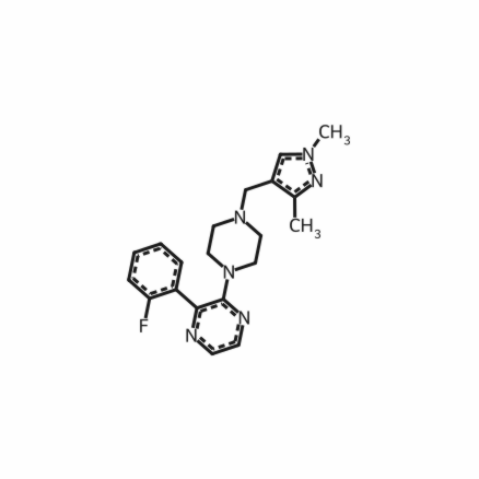 Cc1nn(C)cc1CN1CCN(c2nccnc2-c2ccccc2F)CC1